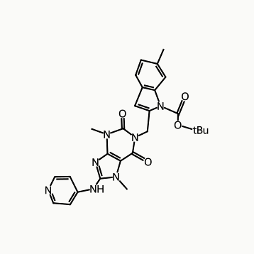 Cc1ccc2cc(Cn3c(=O)c4c(nc(Nc5ccncc5)n4C)n(C)c3=O)n(C(=O)OC(C)(C)C)c2c1